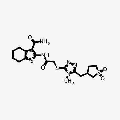 Cn1c(CC2CCS(=O)(=O)C2)nnc1SCC(=O)Nc1sc2c(c1C(N)=O)CCCC2